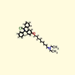 CCN(CC)CCCCCCCCCOc1ccc(/C(=C(/Cl)c2ccccc2)c2ccccc2)cc1